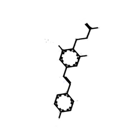 C=C(C)CCc1c(O)cc(/C=C/c2ccc(F)cc2)cc1OC